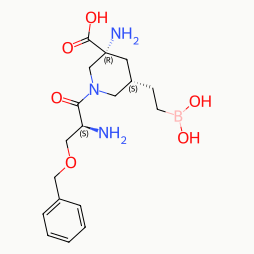 N[C@@H](COCc1ccccc1)C(=O)N1C[C@@H](CCB(O)O)C[C@](N)(C(=O)O)C1